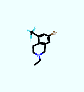 CCN1CCc2c(cc(Br)cc2C(F)(F)F)C1